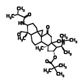 CC(C)C(=O)NC1CCC23CC24C(=O)CC2(C)C([C@H](C)N(C)C)[C@H](OC(=O)C(C)(C)C)C[C@@]2(C)C4CCC3[C@]1(C)C=O